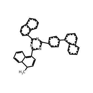 CC1C=CC(c2nc(-c3ccc(-c4cccc5ccccc45)cc3)nc(-c3cccc4ccccc34)n2)=C2C=CC=CC21